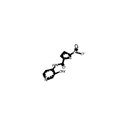 O=C(Nc1ccncc1O)c1ccc([N+](=O)[O-])s1